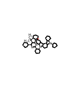 CC1(C)c2ccccc2-c2nc(-c3ccccc3-n3c4ccccc4c4c5c6ccccc6n(-c6ccccc6)c5ccc43)nc(-c3ccccc3)c21